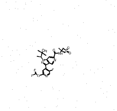 CC(n1nc(-c2cc(OC(F)F)ncc2F)c2cnc(C(=O)NC3(C)CS(=O)(=O)C3)cc21)C(C)(C)O